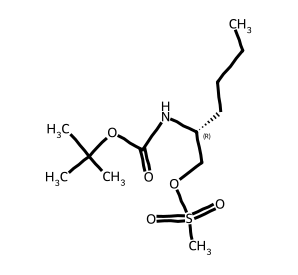 CCCC[C@H](COS(C)(=O)=O)NC(=O)OC(C)(C)C